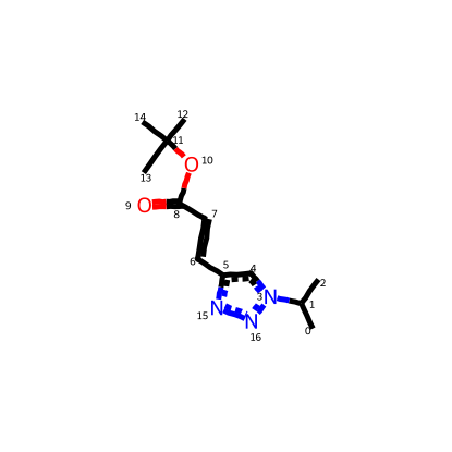 CC(C)n1cc(C=CC(=O)OC(C)(C)C)nn1